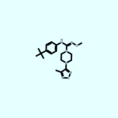 CO/N=C(/Nc1ccc(C(C)(C)C)cc1)N1CCN(c2nsnc2C)CC1